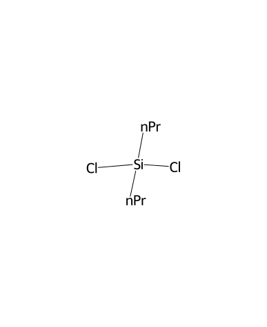 CCC[Si](Cl)(Cl)CCC